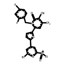 CCc1cc(-c2ccc(-c3cc(C(F)(F)F)c(C#N)c(=O)n3Cc3ccc(F)cc3F)s2)cc(S(=O)(=O)CC)n1